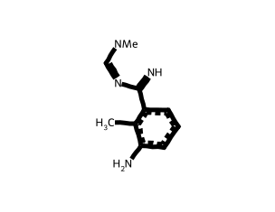 CN/C=N\C(=N)c1cccc(N)c1C